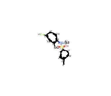 Cc1ccc(S(=O)(=O)Nc2ccc(F)cc2[N+](=O)[O-])cc1.[Na]